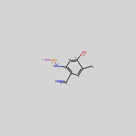 Cc1cc(C=N)c(NPI)cc1O